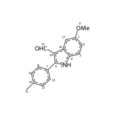 COc1ccc2[nH]c(-c3ccc(C)cc3)c(C=O)c2c1